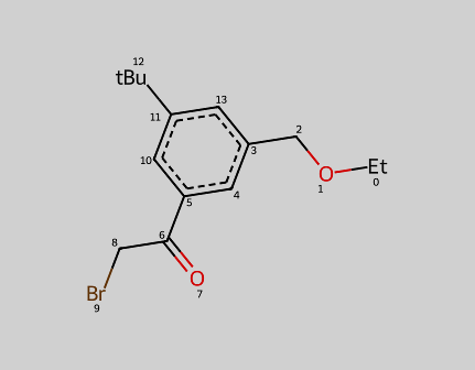 CCOCc1cc(C(=O)CBr)cc(C(C)(C)C)c1